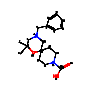 CC1(C)CN(Cc2ccccc2)CC2(CCN(C(=O)O)CC2)O1